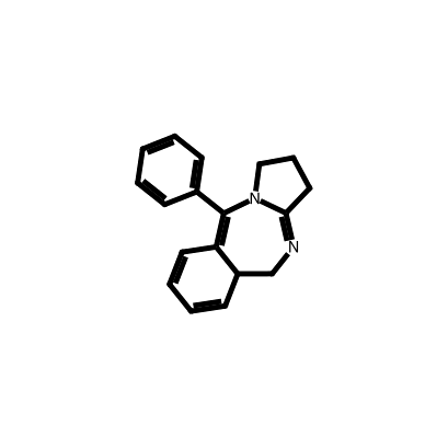 C1=CC2=C(c3ccccc3)N3CCCC3=NCC2C=C1